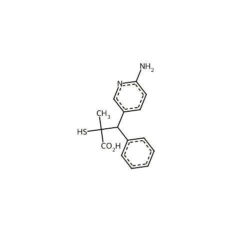 CC(S)(C(=O)O)C(c1ccccc1)c1ccc(N)nc1